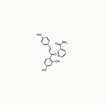 NC(=O)c1cccnc1.O=C(/C=C/c1ccc(O)cc1)c1ccc(O)cc1O